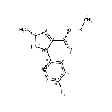 CCOC(=O)C1=CC(C)NN1c1ccc(F)cc1